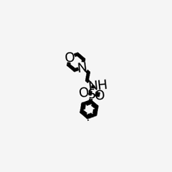 O=S(=O)(NCCN1CCOCC1)c1cc[c]cc1